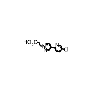 O=C(O)CC[n+]1ccc(-c2ccc(Cl)cn2)cn1